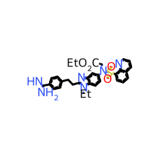 CCOC(=O)CN(c1ccc2c(c1)nc(CCc1ccc(C(=N)N)cc1)n2CC)S(=O)(=O)c1cccc2cccnc12